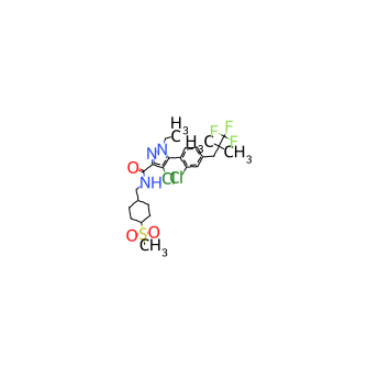 CCn1nc(C(=O)NCC2CCC(S(C)(=O)=O)CC2)c(Cl)c1-c1ccc(CC(C)(C)C(F)(F)F)cc1Cl